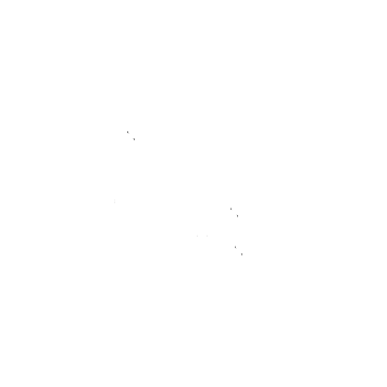 N#Cc1c(F)cc(Oc2ncccn2)c2c1OCCC2